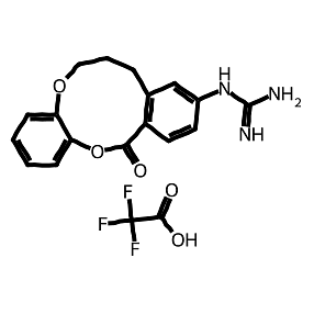 N=C(N)Nc1ccc2c(c1)CCCOc1ccccc1OC2=O.O=C(O)C(F)(F)F